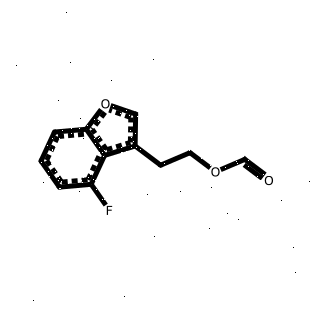 O=[C]OCCc1coc2cccc(F)c12